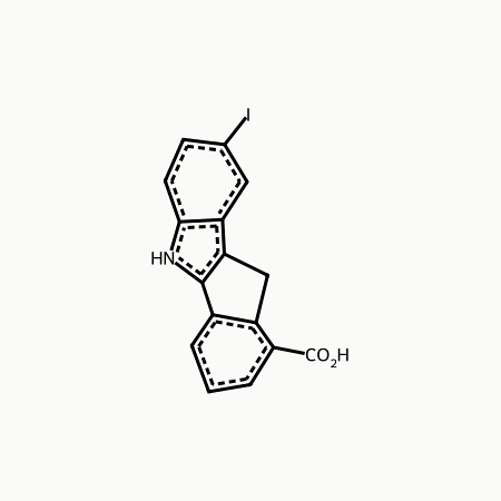 O=C(O)c1cccc2c1Cc1c-2[nH]c2ccc(I)cc12